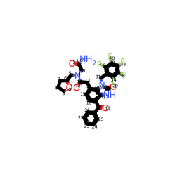 NC(=O)CN(CC1CCCO1)C(=O)Cc1ccc(C(=O)c2ccccc2)c2[nH]c(=O)n(Cc3c(F)c(F)c(F)c(F)c3F)c12